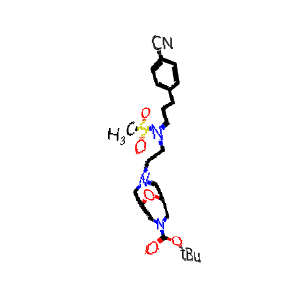 CC(C)(C)OC(=O)N1CC2CN(CCN(CCCc3ccc(C#N)cc3)S(C)(=O)=O)CC(C1)O2